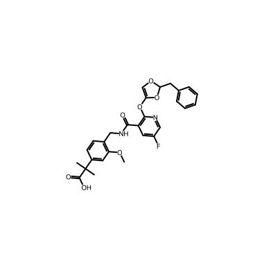 COc1cc(C(C)(C)C(=O)O)ccc1CNC(=O)c1cc(F)cnc1OC1=COC(Cc2ccccc2)O1